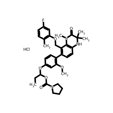 CCC(OC(=O)N1CCCC1)Oc1ccc(-c2ccc3c(c2COc2cc(F)ccc2C)N(C)C(=O)C(C)(C)N3)c(OC)c1.Cl